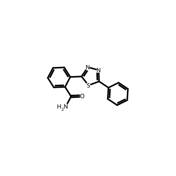 NC(=O)c1ccccc1-c1nnc(-c2ccccc2)s1